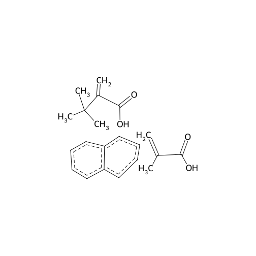 C=C(C(=O)O)C(C)(C)C.C=C(C)C(=O)O.c1ccc2ccccc2c1